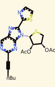 CCCCC#Cc1ncc2nc(-c3nccs3)n([C@@H]3SC[C@@H](OC(C)=O)[C@H]3OC(C)=O)c2n1